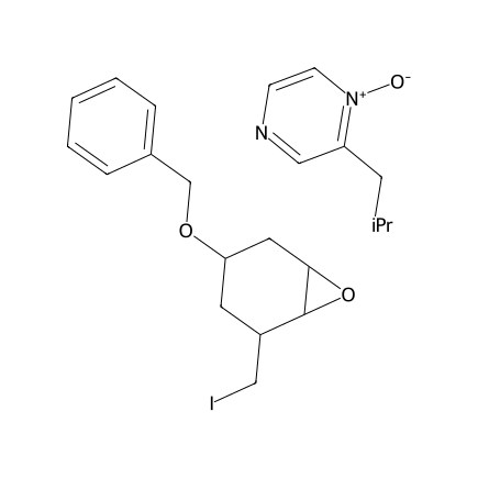 CC(C)Cc1cncc[n+]1[O-].ICC1CC(OCc2ccccc2)CC2OC12